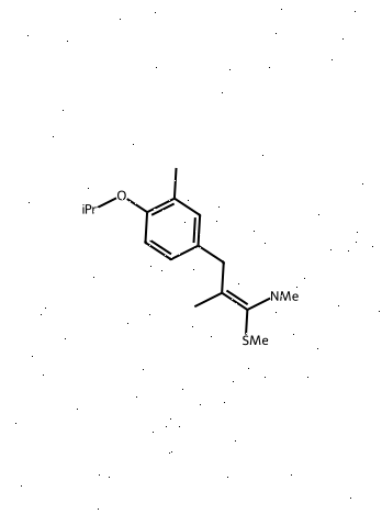 CN/C(SC)=C(/C)Cc1ccc(OC(C)C)c(C)c1